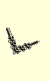 O=S([O-])([O-])=S.O=S([O-])([O-])=S.O=S([O-])([O-])=S.O=S([O-])([O-])=S.O=S([O-])([O-])=S.[K+].[K+].[K+].[K+].[K+].[K+].[K+].[K+].[K+].[K+]